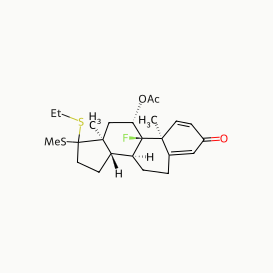 CCSC1(SC)CC[C@H]2[C@@H]3CCC4=CC(=O)C=C[C@]4(C)[C@@]3(F)[C@@H](OC(C)=O)C[C@@]21C